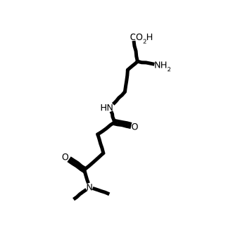 CN(C)C(=O)CCC(=O)NCCC(N)C(=O)O